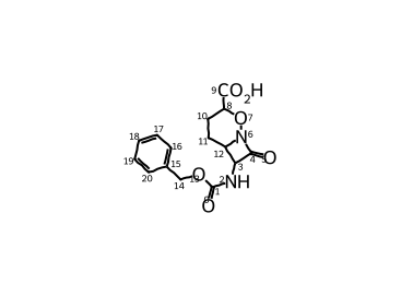 O=C(NC1C(=O)N2OC(C(=O)O)CCC12)OCc1ccccc1